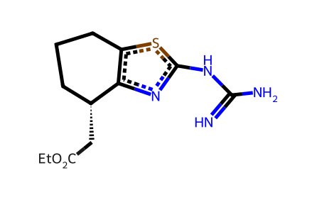 CCOC(=O)C[C@@H]1CCCc2sc(NC(=N)N)nc21